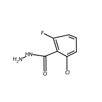 NNC(=O)c1c(F)cccc1Cl